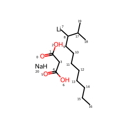 O=C(O)CC(=O)O.[Li][CH](CCCCCCCC)C(C)C.[NaH]